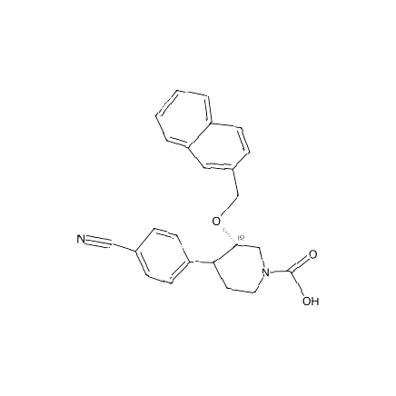 N#Cc1ccc(C2CCN(C(=O)O)C[C@H]2OCc2ccc3ccccc3c2)cc1